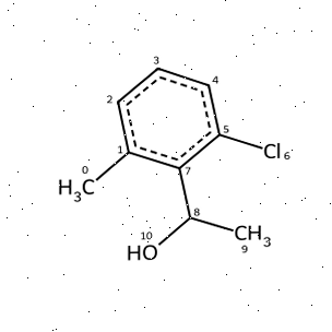 Cc1cccc(Cl)c1C(C)O